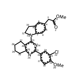 COC(=O)Cc1ccc2c(c1)CCN2c1nc(-c2ccc(OC)c(Cl)c2)nc2c1CCCC2